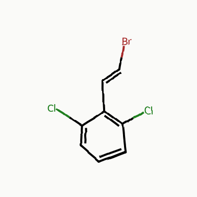 Clc1cccc(Cl)c1C=CBr